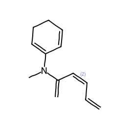 C=C/C=C\C(=C)N(C)C1=CCCC=C1